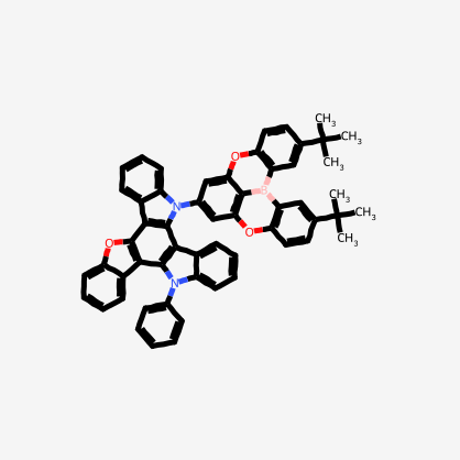 CC(C)(C)c1ccc2c(c1)B1c3cc(C(C)(C)C)ccc3Oc3cc(-n4c5ccccc5c5c6oc7ccccc7c6c6c(c7ccccc7n6-c6ccccc6)c54)cc(c31)O2